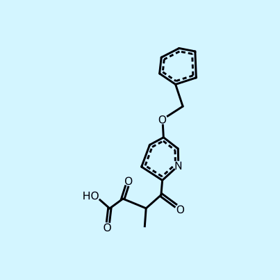 CC(C(=O)C(=O)O)C(=O)c1ccc(OCc2ccccc2)cn1